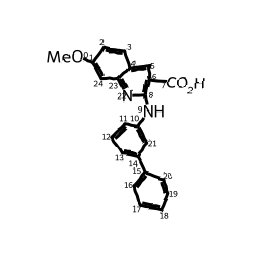 COc1ccc2cc(C(=O)O)c(Nc3cccc(-c4ccccc4)c3)nc2c1